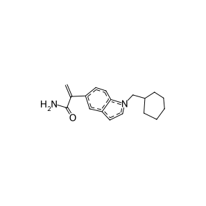 C=C(C(N)=O)c1ccc2c(ccn2CC2CCCCC2)c1